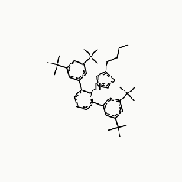 CCCCc1c[n+](-c2c(-c3cc(C(C)(C)C)cc(C(C)(C)C)c3)cccc2-c2cc(C(C)(C)C)cc(C(C)(C)C)c2)cs1